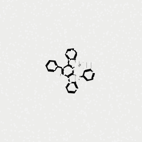 Cn1c2ccccc2c2c3c4ccccc4oc3c3c4ccccc4n(-c4ccccc4)c3c21